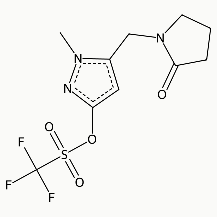 Cn1nc(OS(=O)(=O)C(F)(F)F)cc1CN1CCCC1=O